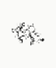 O=C(O)CC1=CCCc2c1n(Cc1ccc(Cl)cc1Cl)c1c(F)cc(F)cc21